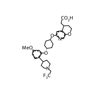 COc1ccc(C2CCN(CC(F)(F)F)CC2)c(O[C@H]2CC[C@H](Oc3cc4c(cn3)OCCC4CC(=O)O)CC2)c1